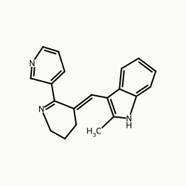 Cc1[nH]c2ccccc2c1/C=C1\CCCN=C1c1cccnc1